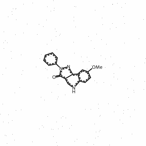 COc1ccc2[nH]cc3c(=O)n(-c4ccccc4)nc-3c2c1